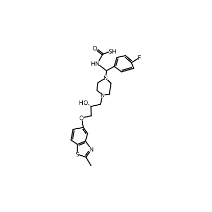 Cc1nc2cc(OC[C@H](O)CN3CCN(C(NC(=O)S)c4ccc(F)cc4)CC3)ccc2s1